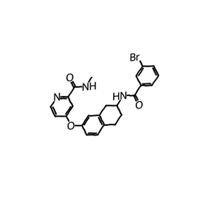 CNC(=O)c1cc(Oc2ccc3c(c2)CC(NC(=O)c2cccc(Br)c2)CC3)ccn1